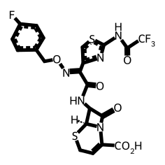 O=C(O)C1=CCS[C@H]2C(NC(=O)C(=NOCc3ccc(F)cc3)c3csc(NC(=O)C(F)(F)F)n3)C(=O)N12